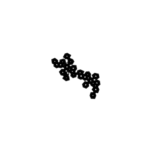 c1ccc(-c2ccc3c(c2)c2cc4c(-c5ccccc5)c5c6cc7ccc8c(-c9cccc%10c%11cc%12c(-c%13cccc%14c%13oc%13ccccc%13%14)c%13c%14cc%15ccc%16ccccc%16c%15c%15cccc(c%13c(-c%13cccc%16c%13oc%13ccccc%13%16)c%12c%12cccc(c9%10)c%11%12)c%14%15)cccc8c7c7cccc(c5c(-c5ccccc5)c4c4cccc3c24)c67)cc1